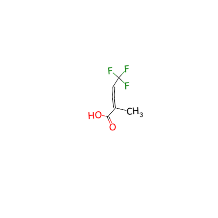 CC(=C=CC(F)(F)F)C(=O)O